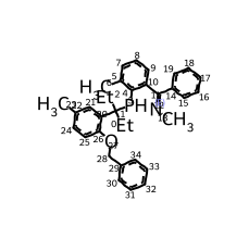 CCC(CC)(Pc1c(C)cccc1/C(=N/C)c1ccccc1)c1cc(C)ccc1OCc1ccccc1